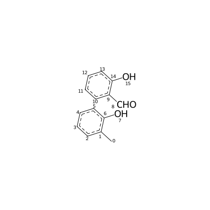 Cc1ccccc1O.O=Cc1ccccc1O